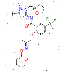 C/C(COc1ccc(C(F)(F)F)cc1C(=O)/N=c1\cc(C(C)(C)C)n(C)n1C[C@H]1CCCO1)=N\OC1CCCCO1